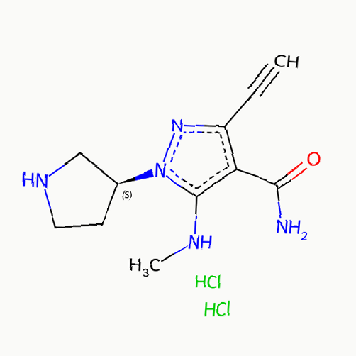 C#Cc1nn([C@H]2CCNC2)c(NC)c1C(N)=O.Cl.Cl